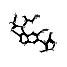 CCNc1nc2cnc3cc(-c4c(C)noc4C)c(OC)cc3c2n1C(C)COC